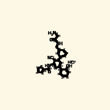 Cl.N#Cc1c(-c2cccc(CNC(=O)CN)c2)cc(-c2ccccc2O)nc1NC(=O)c1cccs1